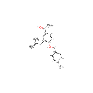 C=C(C)Cc1cc(C(=O)OC)ccc1OCc1ccc(C)cc1